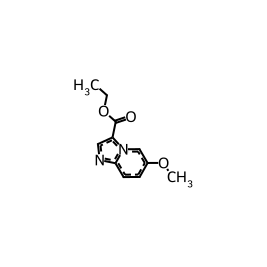 CCOC(=O)c1cnc2ccc(OC)cn12